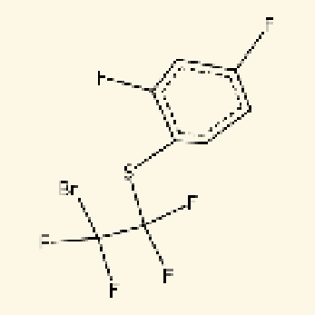 Fc1ccc(SC(F)(F)C(F)(F)Br)c(F)c1